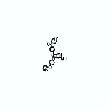 CNc1cc2c(cn1)c(-c1ccc(C(=O)N3CCN(C)CC3)cc1)nn2[C@H]1CC[C@H](Oc2ccccn2)CC1